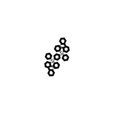 c1ccc([Si](c2ccccc2)(c2ccc([Si](c3ccccc3)(c3ccccc3)c3cccc4c3sc3ccccc34)cc2)c2cccc3c2sc2ccccc23)cc1